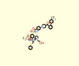 C[C@@]1(C[C@H](CSc2ccccc2)Nc2ccc([S+]([O-])NC(=O)c3ccc(N4CCC([C@@H](O)c5ccccc5-c5ccc(C(F)(F)F)cc5)CC4)cc3)cc2S(=O)(=O)C(F)(F)F)CCCN1CCO